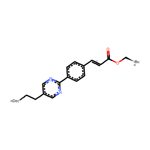 CCCCCCCCCCCCc1cnc(-c2ccc(/C=C/C(=O)OC[C@H](C)CC)cc2)nc1